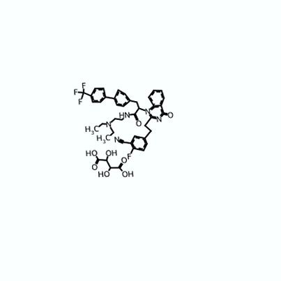 CCN(CC)CCNC(=O)C(Cc1ccc(-c2ccc(C(F)(F)F)cc2)cc1)n1c(CCc2ccc(F)c(C#N)c2)nc(=O)c2ccccc21.O=C(O)C(O)C(O)C(=O)O